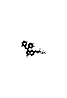 CC(C=O)=CC=C1C=CN2C(=O)C=C(C(Cc3ccccc3)c3ccccc3)C2=C1